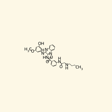 CCCCNCC(=O)Nc1cccc(S(=O)(=O)Nc2nc3ccccc3nc2Nc2cc(O)cc(OC)c2)c1